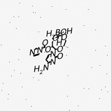 B[PH]1(O)OC[C@H](OC(=O)n2ccnc2)[C@H](n2ccc(N)nc2=O)O[C@@H](C)CO1